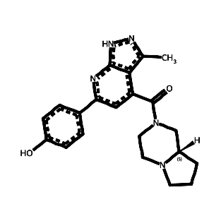 Cc1n[nH]c2nc(-c3ccc(O)cc3)cc(C(=O)N3CCN4CCC[C@H]4C3)c12